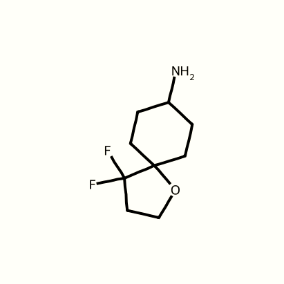 NC1CCC2(CC1)OCCC2(F)F